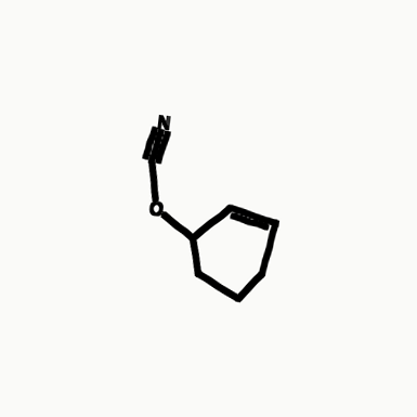 N#COC1C=CCCC1